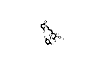 C[C@H](NC(=O)CCCN1C(=O)C=CC1=O)C(=O)ON1C(=O)CCC1=O